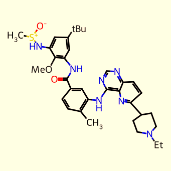 CCN1CCC(c2ccc3ncnc(Nc4cc(C(=O)Nc5cc(C(C)(C)C)cc(N[S+](C)[O-])c5OC)ccc4C)c3n2)CC1